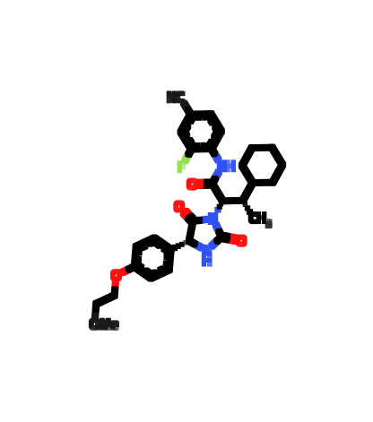 COCCOc1ccc([C@H]2NC(=O)N([C@H](C(=O)Nc3ccc(C#N)cc3F)[C@@H](C)C3CCCCC3)C2=O)cc1